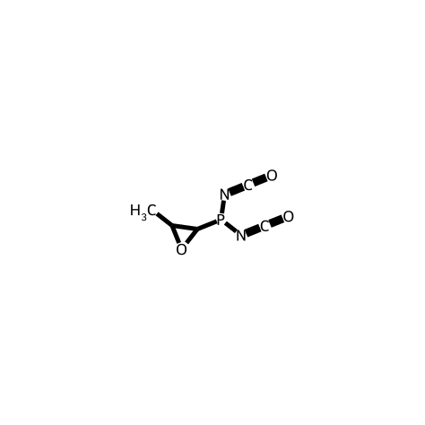 CC1OC1P(N=C=O)N=C=O